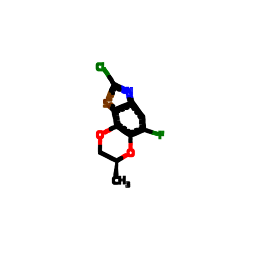 C[C@H]1COc2c(c(F)cc3nc(Cl)sc23)O1